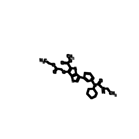 CCNC(=O)N(c1cccc(-c2csc3c(OCC(=O)OCC)c(C(=O)OC)sc23)c1)C1CCCCC1